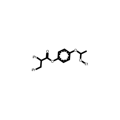 CCOC(C)Oc1ccc(OC(=O)C(CC(C)C)C(C)C)cc1